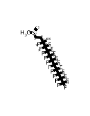 CS(=S)CCC(F)(F)C(F)(F)C(F)(F)C(F)(F)C(F)(F)C(F)(F)C(F)(F)C(F)(F)C(F)(F)C(F)(F)F